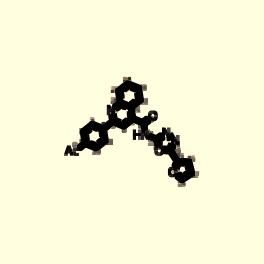 CC(=O)c1ccc(-c2cc(C(=O)Nc3nnc(-c4ccco4)o3)c3ccccc3n2)cc1